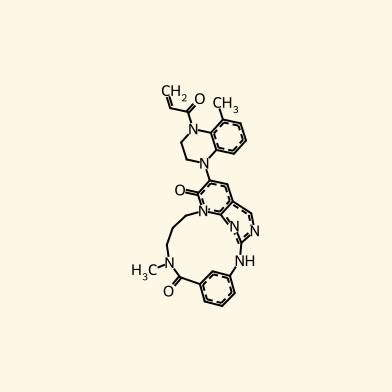 C=CC(=O)N1CCN(c2cc3cnc4nc3n(c2=O)CCCN(C)C(=O)c2cccc(c2)N4)c2cccc(C)c21